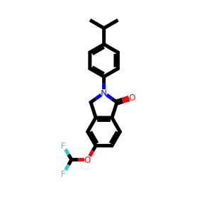 CC(C)c1ccc(N2Cc3cc(OC(F)F)ccc3C2=O)cc1